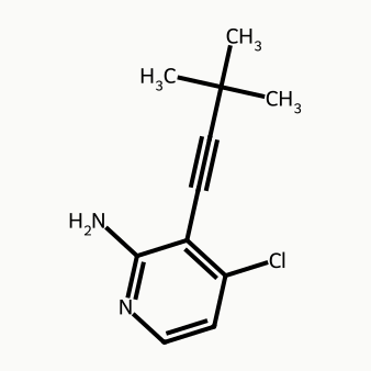 CC(C)(C)C#Cc1c(Cl)ccnc1N